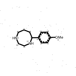 COc1ccc(C2CCCNCCN2)cc1